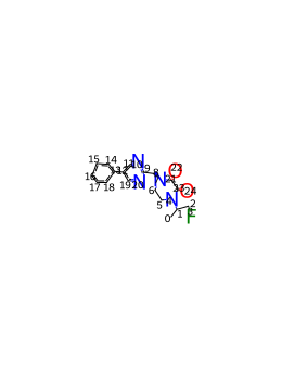 CC(CF)N1CCN(Cc2ncc(-c3ccccc3)cn2)C(=O)C1=O